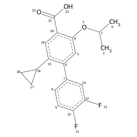 CC(C)Oc1cc(-c2ccc(F)c(F)c2)c(C2CC2)cc1C(=O)O